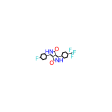 O=C1NC(c2ccc(C(F)(F)F)cc2)=C2C(=O)NC(c3ccc(F)cc3)=C12